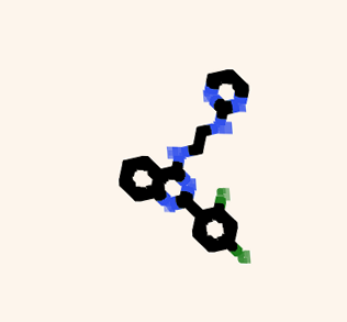 Clc1ccc(-c2nc(NCCNc3ncccn3)c3ccccc3n2)c(Cl)c1